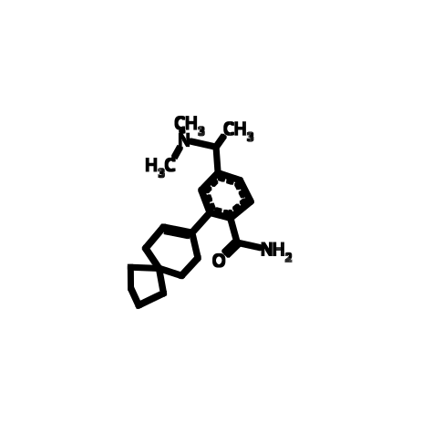 CC(c1ccc(C(N)=O)c(C2=CCC3(CCCC3)CC2)c1)N(C)C